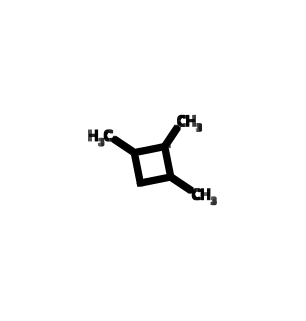 C[C]1C(C)CC1C